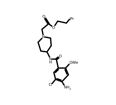 COc1cc(N)c(Cl)cc1C(=O)NC1CCN(CC(=O)OCCC(C)C)CC1